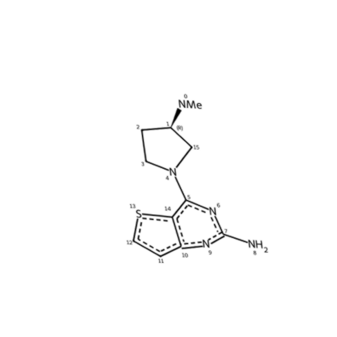 CN[C@@H]1CCN(c2nc(N)nc3ccsc23)C1